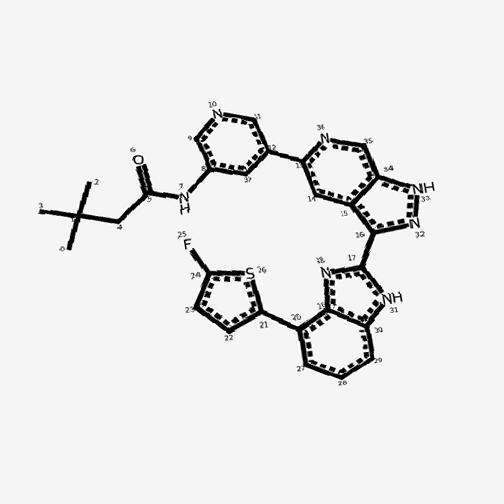 CC(C)(C)CC(=O)Nc1cncc(-c2cc3c(-c4nc5c(-c6ccc(F)s6)cccc5[nH]4)n[nH]c3cn2)c1